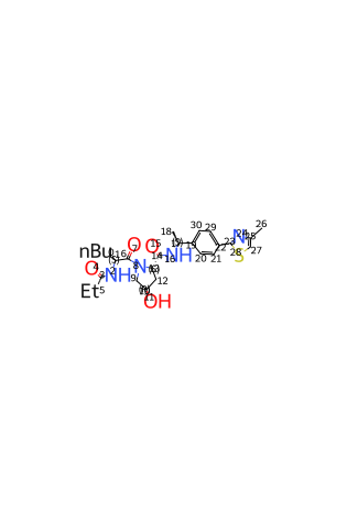 CCCC[C@H](NC(=O)CC)C(=O)N1C[C@H](O)C[C@H]1C(=O)N[C@@H](C)c1ccc(-c2nc(C)cs2)cc1